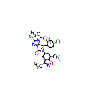 Cc1noc2c(C)cc(N3C(=O)c4nc(Br)n(C(C)C)c4C3c3ccc(Cl)cc3)cc12